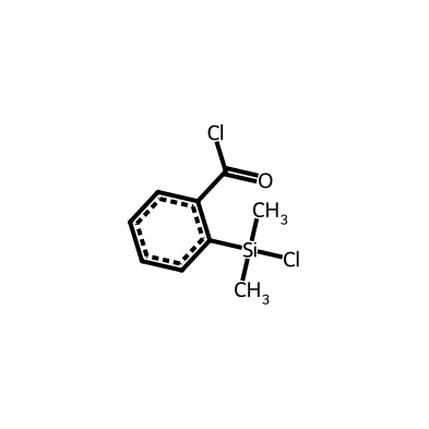 C[Si](C)(Cl)c1ccccc1C(=O)Cl